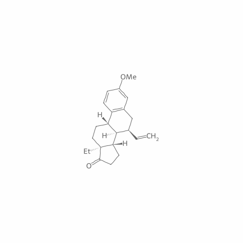 C=C[C@@H]1Cc2cc(OC)ccc2[C@H]2CC[C@]3(CC)C(=O)CC[C@H]3[C@H]12